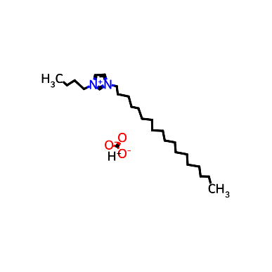 CCCCCCCCCCCCCCCCCCn1cc[n+](CCCC)c1.O=C([O-])[O-].[H+]